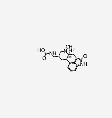 CN1CC(CNC(=O)O)CC2c3cccc4[nH]c(Cl)c(c34)C[C@H]21